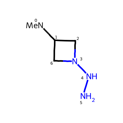 CNC1CN(NN)C1